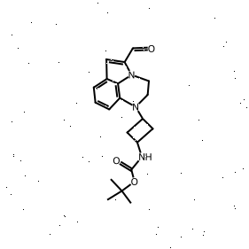 CC(C)(C)OC(=O)NC1CC(N2CCn3c(C=O)cc4cccc2c43)C1